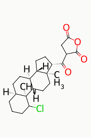 C[C@]12CC[C@H]3[C@@H](CC[C@@H]4CCCC(Cl)[C@@]43C)[C@@H]1CC[C@@H]2C(=O)C1CC(=O)OC1=O